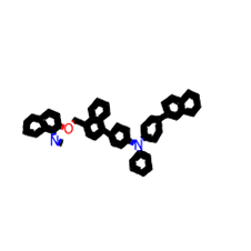 C=Nc1c(OCc2ccc(-c3ccc(N(c4ccccc4)c4ccc(-c5ccc6ccccc6c5)cc4)cc3)c3ccccc23)ccc2ccccc12